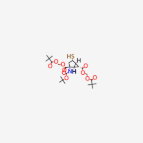 CC(C)(C)OC(=O)N[C@@]1(C(=O)OCOC(=O)C(C)(C)C)C[C@H](S)[C@H]2[C@H](C(=O)OCOC(=O)C(C)(C)C)[C@H]21